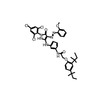 CCC(C)(C)c1ccc(OCC(=O)Nc2cccc(Nc3[nH]n(-c4c(Cl)cc(Cl)cc4Cl)c(=O)c3N=Nc3ccccc3OC)c2)c(C(C)(C)CC)c1